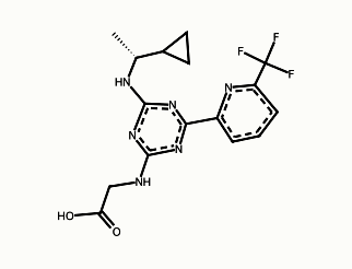 C[C@@H](Nc1nc(NCC(=O)O)nc(-c2cccc(C(F)(F)F)n2)n1)C1CC1